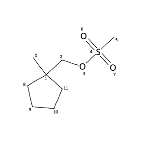 CC1(COS(C)(=O)=O)CCCC1